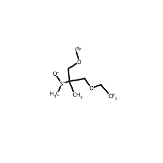 CC(C)OCC(C)(COCC(F)(F)F)[S+](C)[O-]